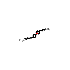 CCCCCCCC1CCC(C23CCC(CCCCC)(CC2)CC3)CC1